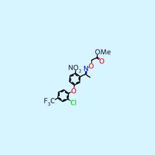 COC(=O)CON=C(C)c1cc(Oc2ccc(C(F)(F)F)cc2Cl)ccc1[N+](=O)[O-]